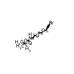 CC(C)(C)OC(=O)NCCOCCOCC#CBr